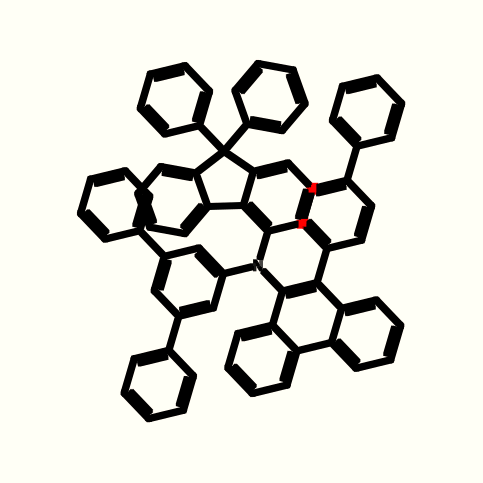 c1ccc(-c2ccc(-c3c(N(c4cc(-c5ccccc5)cc(-c5ccccc5)c4)c4cccc5c4-c4ccccc4C5(c4ccccc4)c4ccccc4)c4ccccc4c4ccccc34)cc2)cc1